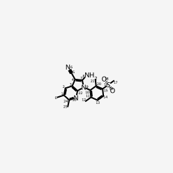 Cc1cc2c(C#N)c(N)n(-c3c(C)ccc(S(C)(=O)=O)c3C)c2nc1C